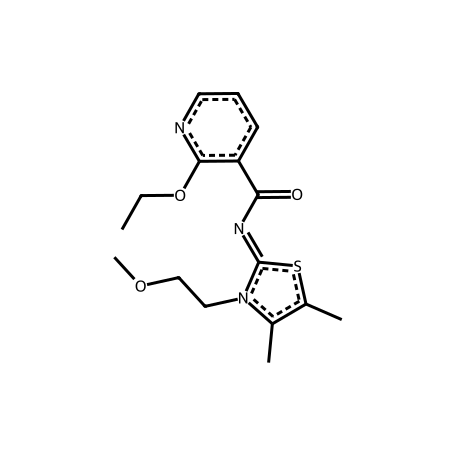 CCOc1ncccc1C(=O)/N=c1\sc(C)c(C)n1CCOC